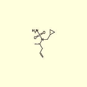 C=CCC(C)N(CC1CC1)S(N)(=O)=O